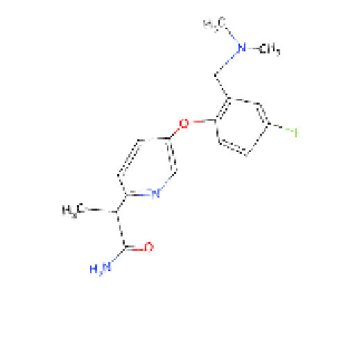 CC(C(N)=O)c1ccc(Oc2ccc(F)cc2CN(C)C)cn1